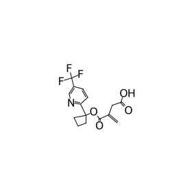 C=C(CC(=O)O)C(=O)OC1(c2ccc(C(F)(F)F)cn2)CCC1